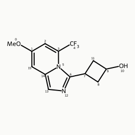 COc1cc(C(F)(F)F)n2c(C3CC(O)C3)ncc2c1